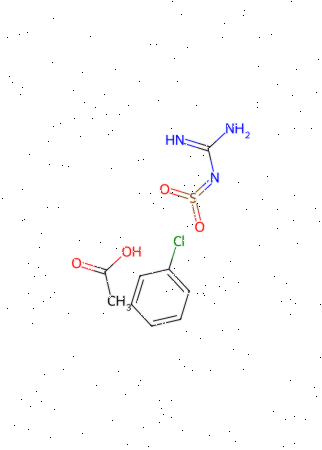 CC(=O)O.Clc1ccccc1.N=C(N)N=S(=O)=O